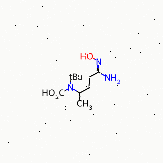 CC(CC/C(N)=N\O)N(C(=O)O)C(C)(C)C